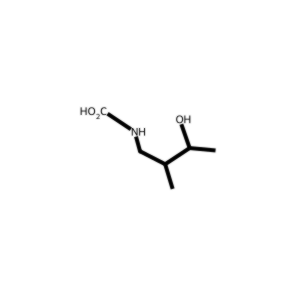 CC(O)C(C)CNC(=O)O